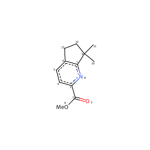 COC(=O)c1ccc2c(n1)C(C)(C)CC2